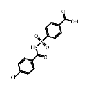 O=C(O)c1ccc(S(=O)(=O)NC(=O)c2ccc(Cl)cc2)cc1